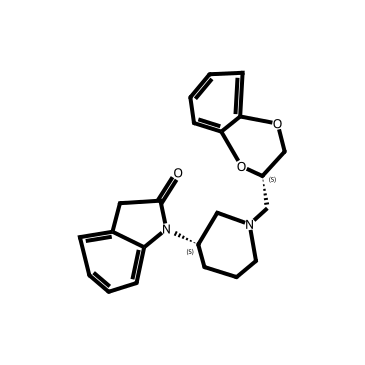 O=C1Cc2ccccc2N1[C@H]1CCCN(C[C@H]2COc3ccccc3O2)C1